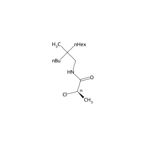 CCCCCCC(C)(CCCC)CNC(=O)[C@@H](C)Cl